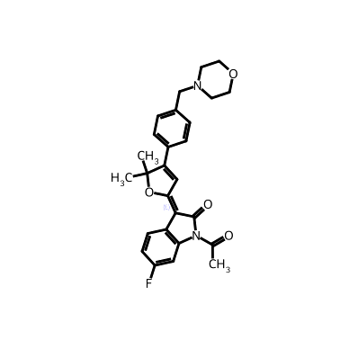 CC(=O)N1C(=O)/C(=C2\C=C(c3ccc(CN4CCOCC4)cc3)C(C)(C)O2)c2ccc(F)cc21